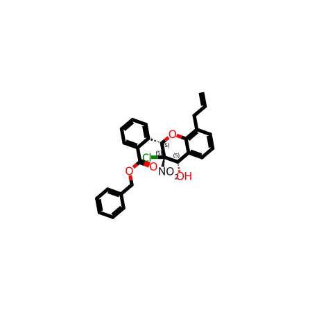 C=CCc1cccc2c1O[C@@H](c1ccccc1C(=O)OCc1ccccc1)[C@](Cl)([N+](=O)[O-])[C@H]2O